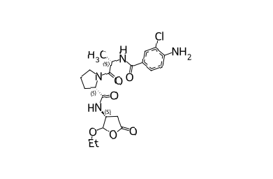 CCOC1OC(=O)C[C@@H]1NC(=O)[C@@H]1CCCN1C(=O)[C@H](C)NC(=O)c1ccc(N)c(Cl)c1